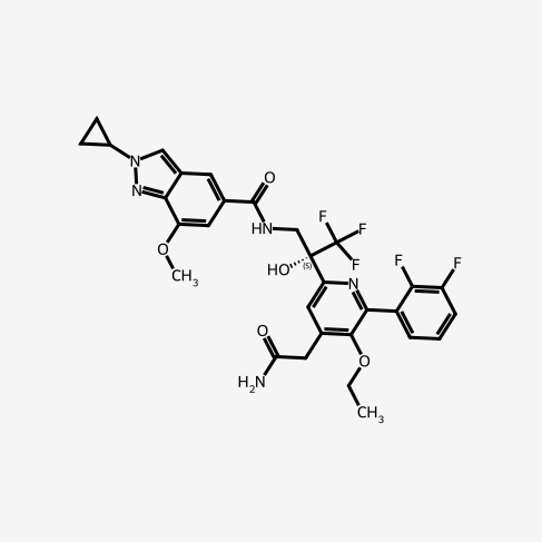 CCOc1c(CC(N)=O)cc([C@@](O)(CNC(=O)c2cc(OC)c3nn(C4CC4)cc3c2)C(F)(F)F)nc1-c1cccc(F)c1F